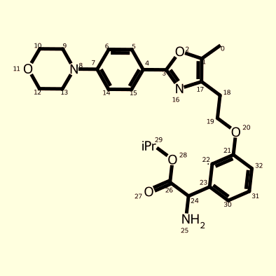 Cc1oc(-c2ccc(N3CCOCC3)cc2)nc1CCOc1[c]c(C(N)C(=O)OC(C)C)ccc1